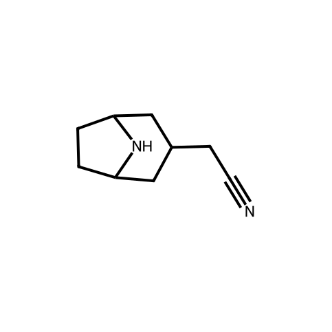 N#CCC1CC2CCC(C1)N2